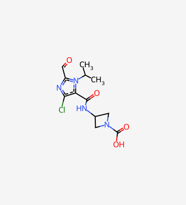 CC(C)n1c(C=O)nc(Cl)c1C(=O)NC1CN(C(=O)O)C1